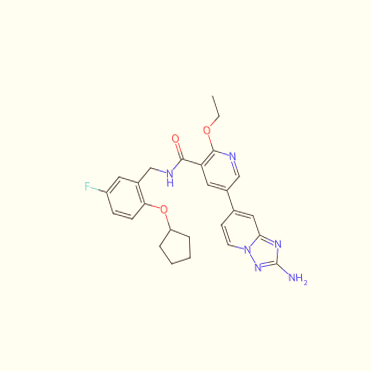 CCOc1ncc(-c2ccn3nc(N)nc3c2)cc1C(=O)NCc1cc(F)ccc1OC1CCCC1